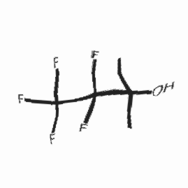 CC(C)(O)C(F)(F)C(F)(F)F